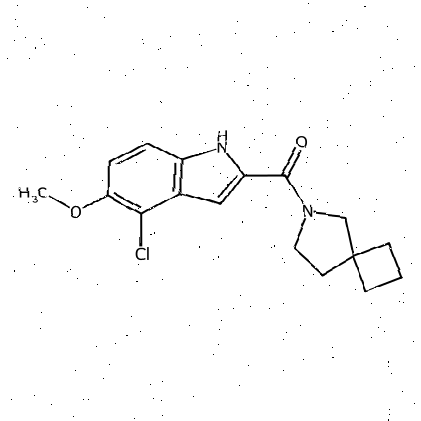 COc1ccc2[nH]c(C(=O)N3CCC4(CCC4)C3)cc2c1Cl